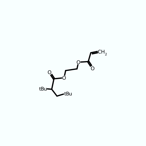 C=CC(=O)OCCOC(=O)C(CC(C)(C)C)C(C)(C)C